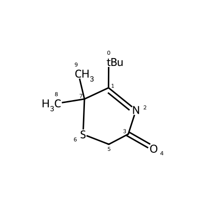 CC(C)(C)C1=NC(=O)CSC1(C)C